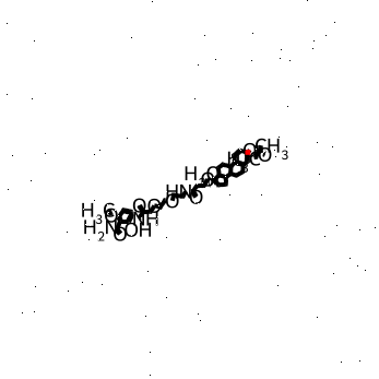 COc1ccc(NC(=O)COCCOCCNC(=O)CCO[C@@H]2CCC3C4CCc5cc(OP(C)(C)=O)ccc5C4CCC32C)c(O)c1C(N)=O